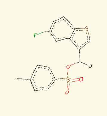 CCC(OS(=O)(=O)c1ccc(C)cc1)c1csc2ccc(F)cc12